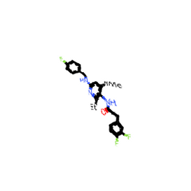 CCc1nc(NCc2ccc(F)cc2)cc(NC)c1NC(=O)Cc1ccc(F)c(F)c1